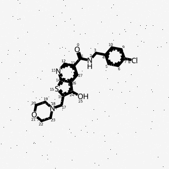 O=C(NCc1ccc(Cl)cc1)c1cnc2sc(CN3CCOCC3)c(O)c2c1